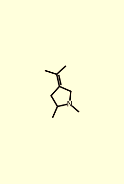 CC(C)=C1CC(C)N(C)C1